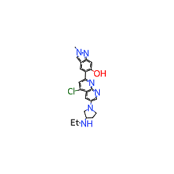 CCN[C@@H]1CCN(c2cnc3nc(-c4cc5cn(C)nc5cc4O)cc(Cl)c3c2)C1